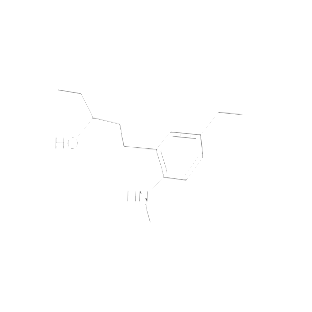 CCc1ccc(NC)c(CCC(O)CC)c1